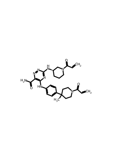 C=CC(=O)N1CCC(C)(c2ccc(Nc3nc(N[C@@H]4CCCN(C(=O)C=C)C4)nnc3C(N)=O)cc2)CC1